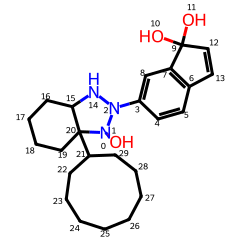 ON1N(c2ccc3c(c2)C(O)(O)C=C3)NC2CCCCC21C1CCCCCCCC1